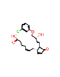 O=C(O)CCC/C=C\C[C@H]1C=CC(=O)[C@@H]1/C=C/[C@@H](O)COc1cccc(Cl)c1